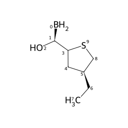 B[C@H](O)C1C[C@H](CC)CS1